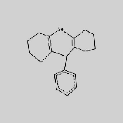 c1ccc(C2C3=C(CCCC3)[Se]C3=C2CCCC3)cc1